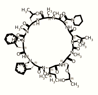 CC[C@H](C)[C@H]1C(=O)N[C@@H](COC[C@@H](C)O)C(=O)N(C)C(=O)N(C)[C@@H](CC(C)C)C(=O)N[C@H](C(=O)N2CCCCC2)C(=O)N(C)[C@@H](C)C(=O)N[C@@H](CC(C)C)C(=O)N(C)C(=O)N(C)[C@@H](Cc2ccccc2)C(=O)NN(C)[C@@H](Cc2ccccc2)C(=O)N1C